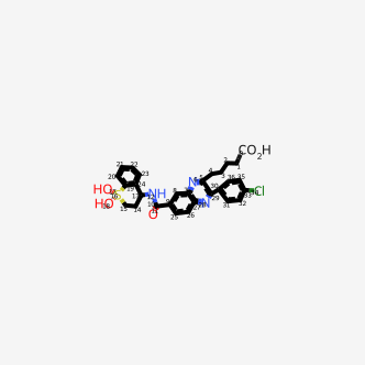 O=C(O)CCCCc1nc2cc(C(=O)NC3CCS(O)(O)c4ccccc43)ccc2nc1-c1ccc(Cl)cc1